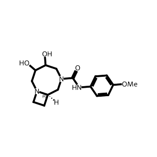 COc1ccc(NC(=O)N2CC(O)C(O)CN3CC[C@@H]3C2)cc1